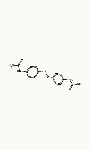 NC(=O)Nc1ccc(SSc2ccc(NC(N)=O)cc2)cc1